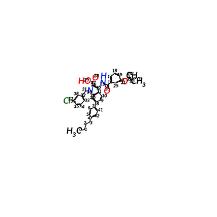 CCCCc1ccc(-c2ccc3c(NC(=O)c4cccc(OC(C)C)c4)c(C(=O)O)n(Cc4cccc(Cl)c4)c3c2)cc1